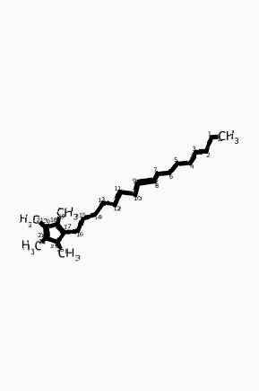 CCCCCCCC/C=C/CCCCCCCC1=C(C)C(C)=C(C)C1C